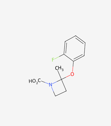 CC1(Oc2ccccc2F)CCN1C(=O)O